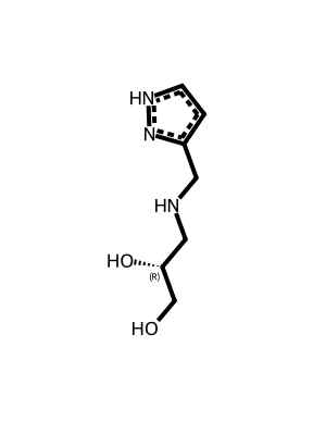 OC[C@H](O)CNCc1cc[nH]n1